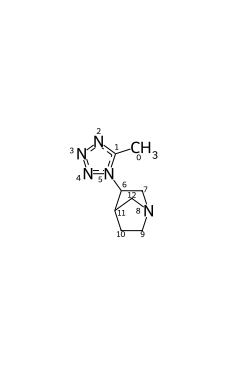 Cc1nnnn1C1CN2CCC1C2